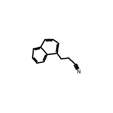 N#C[CH]Cc1cccc2ccccc12